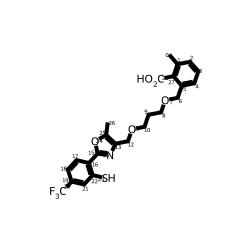 Cc1cccc(COCCCOCc2nc(-c3ccc(C(F)(F)F)cc3S)oc2C)c1C(=O)O